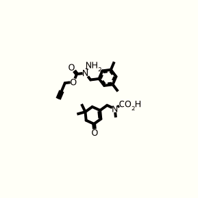 C#CCOC(=O)N(N)Cc1cc(C)cc(C)c1.CN(CC1=CC(=O)CC(C)(C)C1)C(=O)O